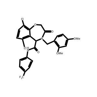 COc1ccc(CN2C(=O)COc3c(Cl)ccc(Cl)c3C2C(=O)Nc2ccc(C(F)(F)F)cc2)c(OC)c1